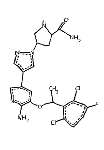 CC(Oc1cc(-c2cnn(C3CNC(C(N)=O)C3)c2)cnc1N)c1c(Cl)ccc(F)c1Cl